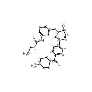 CCOC(=O)Nc1cccc(Cn2nc(-c3ccc(C(=O)N4CCN(C)CC4)cc3)ccc2=O)c1